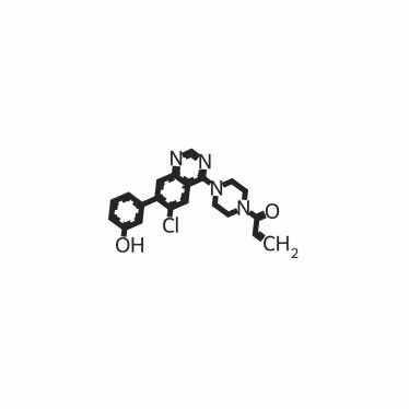 C=CC(=O)N1CCN(c2ncnc3cc(-c4cccc(O)c4)c(Cl)cc23)CC1